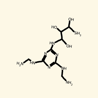 NCNc1nc(NCN)nc(NC(O)C(O)C(O)[SiH3])n1